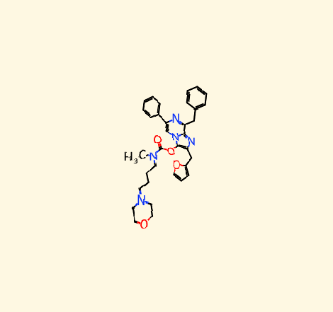 CN(CCCCN1CCOCC1)C(=O)Oc1c(Cc2ccco2)nc2c(Cc3ccccc3)nc(-c3ccccc3)cn12